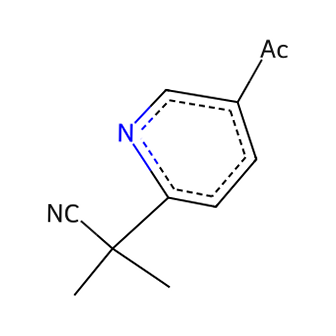 CC(=O)c1ccc(C(C)(C)C#N)nc1